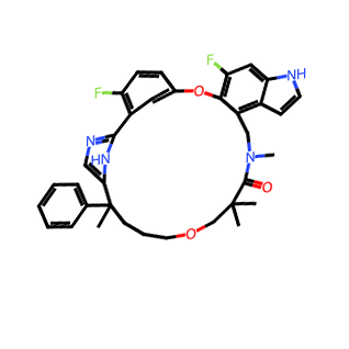 CN1Cc2c(c(F)cc3[nH]ccc23)Oc2ccc(F)c(c2)-c2ncc([nH]2)C(C)(c2ccccc2)CCCOCC(C)(C)C1=O